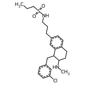 CCCS(=O)(=O)NCCCc1ccc2c(c1)C(Cc1cccc(Cl)c1)C(NC)CC2